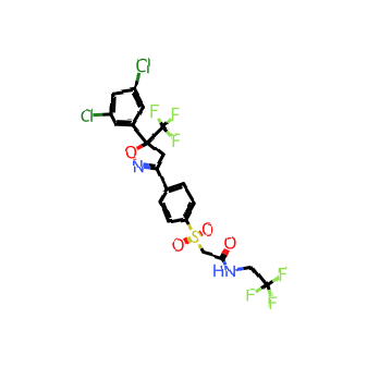 O=C(CS(=O)(=O)c1ccc(C2=NOC(c3cc(Cl)cc(Cl)c3)(C(F)(F)F)C2)cc1)NCC(F)(F)F